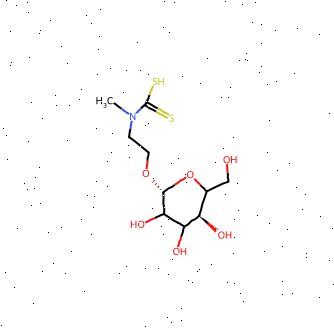 CN(CCO[C@@H]1OC(CO)[C@@H](O)C(O)C1O)C(=S)S